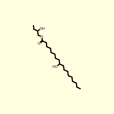 CCCCCCCCCC(O)CCCCCCCC(=O)OCC(O)CC